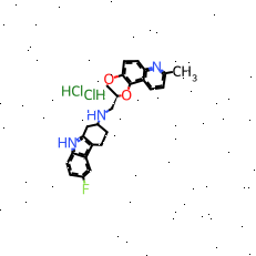 Cc1ccc2c3c(ccc2n1)OC[C@H](CNC1CCc2c([nH]c4ccc(F)cc24)C1)O3.Cl.Cl